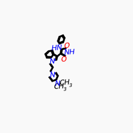 CN(C)C1CCN(CCCn2cc(C3=C(Nc4ccccc4)C(=O)NC3=O)c3ccccc32)CC1